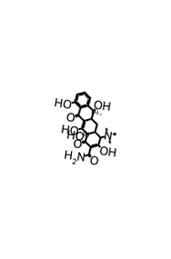 C[C@@]1(O)c2cccc(O)c2C(=O)C2=C(O)[C@]3(O)C(=O)C(C(N)=O)=C(O)C([N+](C)(C)C)C3CC21